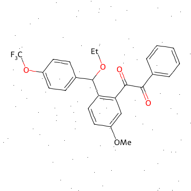 CCOC(c1ccc(OC(F)(F)F)cc1)c1ccc(OC)cc1C(=O)C(=O)c1ccccc1